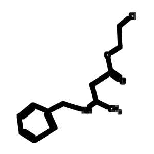 CC(CC(=O)OCCCl)NCc1ccccc1